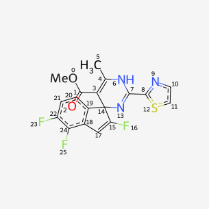 COC(=O)C1=C(C)NC(c2nccs2)=NC12C(F)=Cc1c2ccc(F)c1F